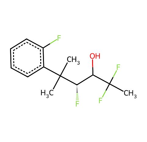 CC(F)(F)C(O)[C@H](F)C(C)(C)c1ccccc1F